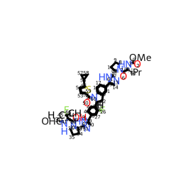 COC(=O)N[C@H](C(=O)N1CCC[C@H]1c1ncc(-c2ccc3c(c2)C[C@H]2c4c(F)cc(-c5cnc([C@@H]6CCCN6[C@@H](O)C(NC=O)C(C)(C)F)[nH]5)cc4OC(c4ccc(C5CC5)s4)N32)[nH]1)C(C)C